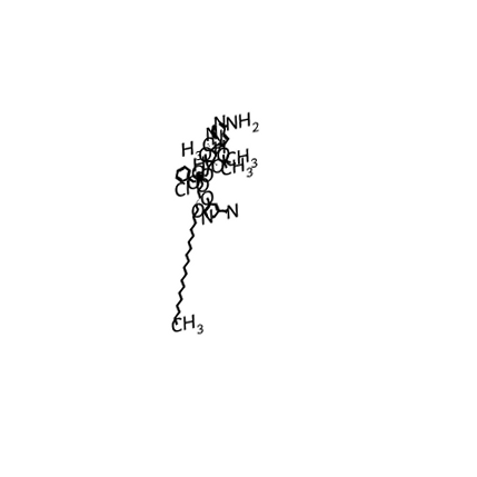 CCCCCCCCCCCCCCCCCCOC[C@H](COP(=O)(Oc1ccccc1Cl)OC1[C@H]2O[C@@](C)(c3ccc4c(N)ncnn34)[C@@H]3OC(C)(C)O[C@]123)Oc1cncc(C#N)c1